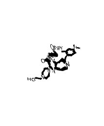 CCCOCCn1c(=O)c(N2CCN(CCO)CC2)nc2cnc(-c3ccc(N(C)C)cc3C)cc21